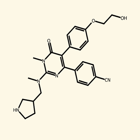 CN(CC1CCNC1)c1nc(-c2ccc(C#N)cc2)c(-c2ccc(OCCO)cc2)c(=O)n1C